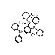 CC12CCCCC1(C)N1c3cc(N(c4ccccc4)c4ccccc4)cc4c3B(c3ccccc3O4)c3cccc2c31